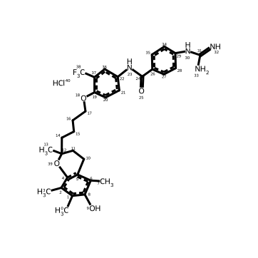 Cc1c(C)c2c(c(C)c1O)CCC(C)(CCCCOc1ccc(NC(=O)c3ccc(NC(=N)N)cc3)cc1C(F)(F)F)O2.Cl